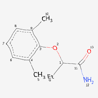 CCC(Oc1c(C)cccc1C)C(N)=O